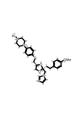 COc1ccc(CC[C@]2(Cn3ccnc3)OC[C@@H](COc3ccc(N4CCN(C(C)=O)CC4)cc3)O2)cc1